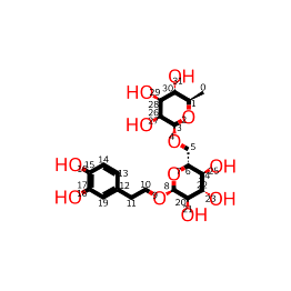 C[C@H]1O[C@@H](OC[C@H]2O[C@H](OCCc3ccc(O)c(O)c3)[C@H](O)[C@@H](O)[C@@H]2O)[C@@H](O)[C@@H](O)[C@@H]1O